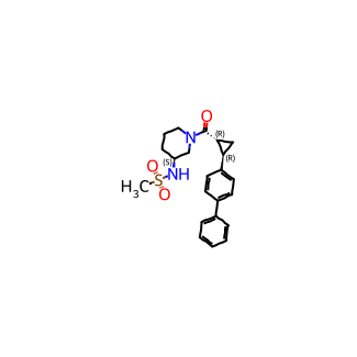 CS(=O)(=O)N[C@H]1CCCN(C(=O)[C@@H]2C[C@H]2c2ccc(-c3ccccc3)cc2)C1